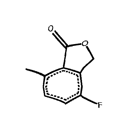 Cc1ccc(F)c2c1C(=O)OC2